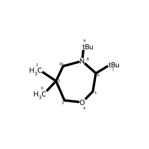 CC1(C)COCC(C(C)(C)C)N(C(C)(C)C)C1